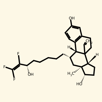 C=CC12CCc3cc(O)ccc3[C@H]1[C@@H](CCCCC[C@H](O)C(F)=C(F)F)C[C@]1(C)[C@@H](O)CC[C@@H]21